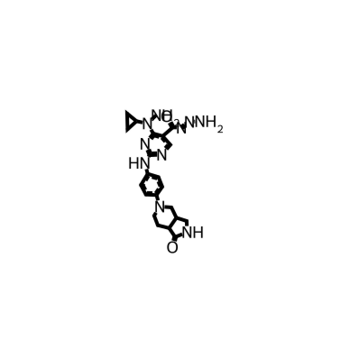 NN=NC(=O)c1cnc(Nc2ccc(N3CCC4C(=O)NCC4C3)cc2)nc1N(N)C1CC1